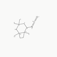 CC1(C)CC(N=C=O)C(C)(C)C(C)(C)C1